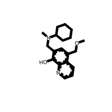 COCc1cc(CN(C)C2CCCCC2)c(O)c2ncccc12